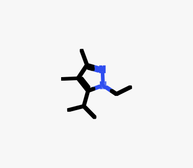 CCn1nc(C)c(C)c1C(C)C